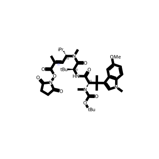 COc1ccc2c(c1)c(C(C)(C)[C@@H](C(=O)N[C@H](C(=O)N(C)[C@H](/C=C(\C)C(=O)ON1C(=O)CCC1=O)C(C)C)C(C)(C)C)N(C)C(=O)OC(C)(C)C)cn2C